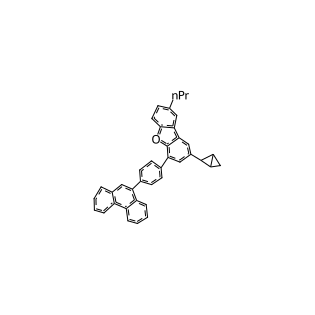 CCCc1ccc2oc3c(-c4ccc(-c5cc6ccccc6c6ccccc56)cc4)cc(C4C5CC54)cc3c2c1